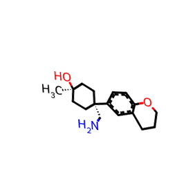 C[C@]1(O)CC[C@@](CN)(c2ccc3c(c2)CCCO3)CC1